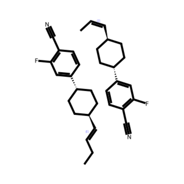 C/C=C\[C@H]1CC[C@H](c2ccc(C#N)c(F)c2)CC1.CC/C=C/[C@H]1CC[C@H](c2ccc(C#N)c(F)c2)CC1